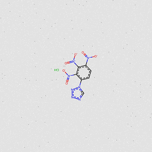 Cl.O=[N+]([O-])c1ccc(-n2cnnn2)c([N+](=O)[O-])c1[N+](=O)[O-]